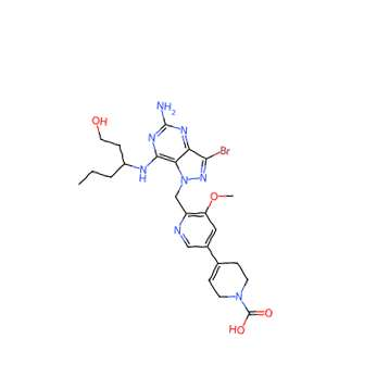 CCCC(CCO)Nc1nc(N)nc2c(Br)nn(Cc3ncc(C4=CCN(C(=O)O)CC4)cc3OC)c12